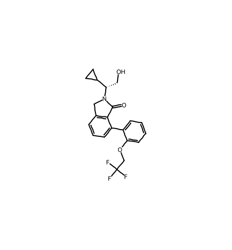 O=C1c2c(cccc2-c2ccccc2OCC(F)(F)F)CN1[C@@H](CO)C1CC1